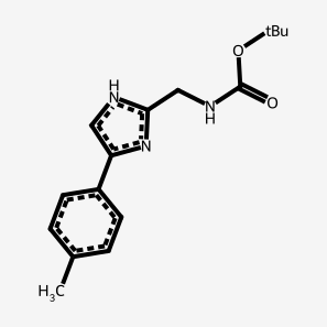 Cc1ccc(-c2c[nH]c(CNC(=O)OC(C)(C)C)n2)cc1